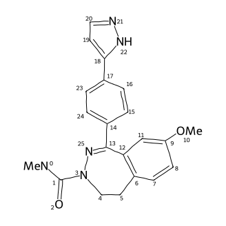 CNC(=O)N1CCc2ccc(OC)cc2C(c2ccc(-c3ccn[nH]3)cc2)=N1